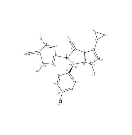 Cc1cc(N2C(=O)c3c(C4CC4)nn(C)c3[C@H]2c2ccc(Cl)cc2)cn(C)c1=O